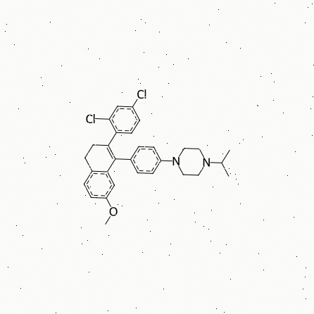 COc1ccc2c(c1)C(c1ccc(N3CCN(C(C)C)CC3)cc1)=C(c1ccc(Cl)cc1Cl)CC2